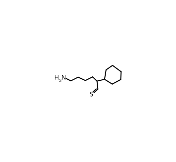 NCCCCC(C=S)C1CCCCC1